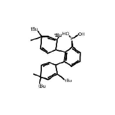 CC(C)(C)C1=CC(C)(C(C)(C)C)C=CC1c1cccc(P(O)O)c1C1C=CC(C)(C(C)(C)C)C=C1C(C)(C)C